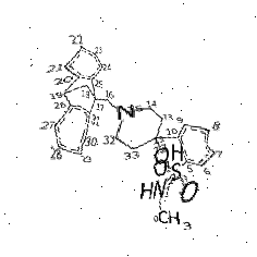 CNS(=O)(=O)c1ccccc1C1(O)CCN(CC23CC(c4ccccc42)c2ccccc23)CC1